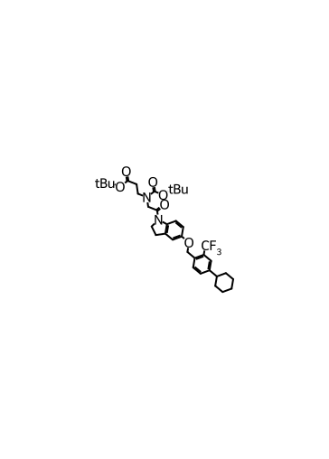 CC(C)(C)OC(=O)CCN(CC(=O)N1CCc2cc(OCc3ccc(C4CCCCC4)cc3C(F)(F)F)ccc21)C(=O)OC(C)(C)C